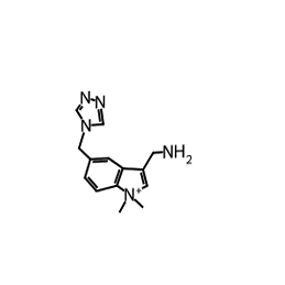 C[N+]1(C)C=C(CN)c2cc(Cn3cnnc3)ccc21